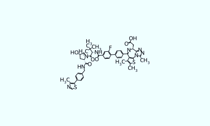 Cc1ncsc1-c1ccc(CNC(=O)[C@@H]2C[C@@H](O)CN2C(=O)[C@@H](NC(=O)c2ccc(-c3ccc(C4=N[C@@H](CC(=O)O)c5nnc(C)n5-c5sc(C)c(C)c54)cc3)c(F)c2)C(C)(C)C)cc1